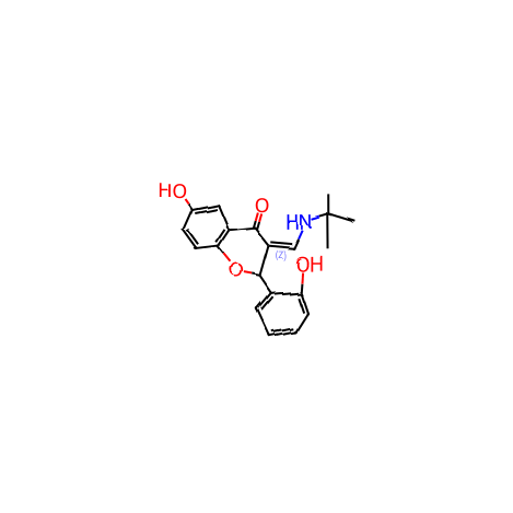 CC(C)(C)N/C=C1\C(=O)c2cc(O)ccc2OC1c1ccccc1O